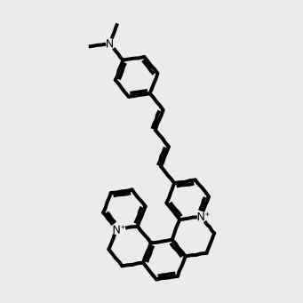 CN(C)c1ccc(/C=C/C=C/c2cc[n+]3c(c2)-c2c(ccc4c2-c2cccc[n+]2CC4)CC3)cc1